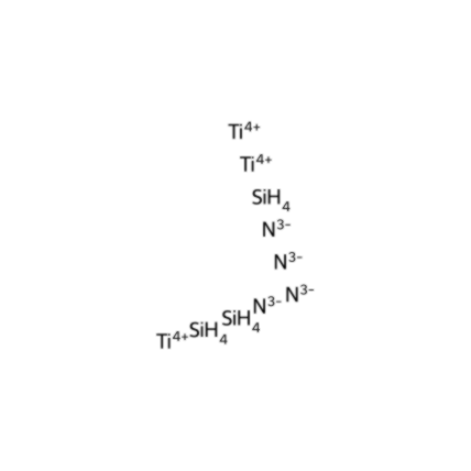 [N-3].[N-3].[N-3].[N-3].[SiH4].[SiH4].[SiH4].[Ti+4].[Ti+4].[Ti+4]